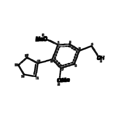 COc1cc(CO)cc(OC)c1C1=CCCC1